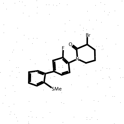 CSc1ccccc1-c1ccc(N2CCCC(Br)C2=O)c(F)c1